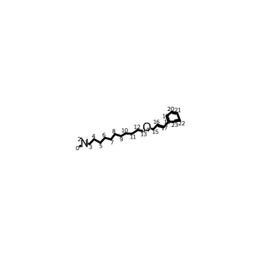 CN(C)CCCCCCCCCCCOCC=Cc1ccccc1